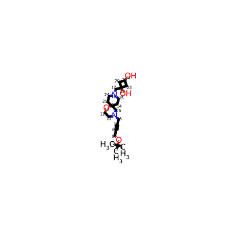 CC(C)(C)OCC#CCN1CCOC2(CCN(CC3(O)CC(O)C3)CC2)C1